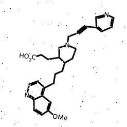 COc1ccc2nccc(CCCC3CCN(CC#Cc4cccnc4)CC3CCC(=O)O)c2c1